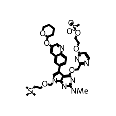 CNc1nc(OCc2nccc(OCCOS(C)(=O)=O)n2)c2c(-c3ccc4ncc(OC5CCCCO5)cc4c3)cn(COCC[Si](C)(C)C)c2n1